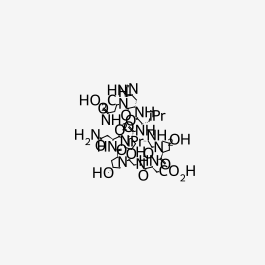 CC(C)C[C@H](NC(=O)[C@@H]1CCCN1C(=O)[C@H](CC(N)=O)NC(=O)[C@@H]1C[C@@H](O)CN1C(=O)CNC(=O)[C@H](CC(=O)O)NC(=O)[C@@H]1C[C@@H](O)CN1C(=O)[C@@H](N)C(C)C)C(=O)N[C@@H](Cc1c[nH]cn1)C(=O)N[C@@H](CC(N)=O)C(=O)O